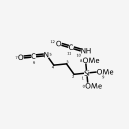 CO[Si](CCCN=C=O)(OC)OC.N=C=O